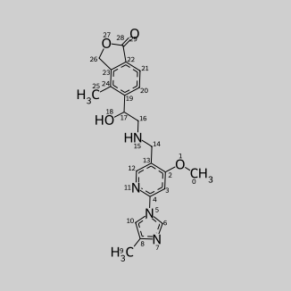 COc1cc(-n2cnc(C)c2)ncc1CNCC(O)c1ccc2c(c1C)COC2=O